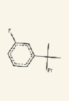 CCCC(C)(C)c1cccc(F)c1